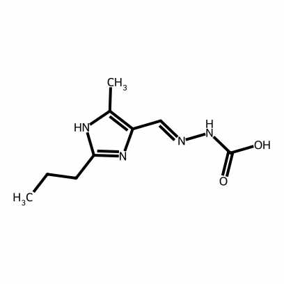 CCCc1nc(C=NNC(=O)O)c(C)[nH]1